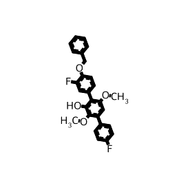 COc1cc(-c2ccc(F)cc2)c(OC)c(O)c1-c1ccc(OCc2ccccc2)c(F)c1